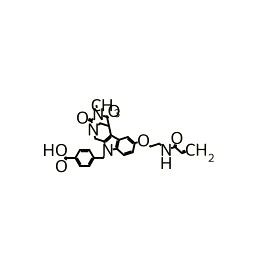 C=CC(=O)NCCOc1ccc2c(c1)c1c(n2Cc2ccc(C(=O)O)cc2)CN2CC1C(=O)N(C)C2=O